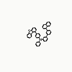 c1ccc(N(c2ccc(-c3cccc4sc5ccccc5c34)cc2)c2cccc(-c3cccc(-c4cccc5ccccc45)c3)c2)cc1